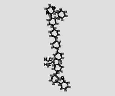 CC1(C)c2cc(-c3ccc(-c4ccc(-c5ccc6c(c5)c5ccccc5c5nccnc65)cc4)cc3)ccc2-c2ccc(-c3cccc4c3oc3ccccc34)cc21